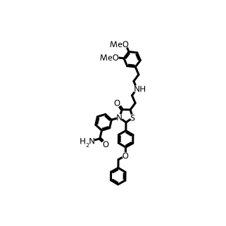 COc1ccc(CCNCCC2SC(c3ccc(OCc4ccccc4)cc3)N(c3cccc(C(N)=O)c3)C2=O)cc1OC